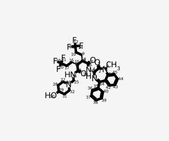 CN1C(=O)[C@@H](NC(=O)[C@H](CCC(F)(F)F)[C@H](CCC(F)(F)F)C(=O)NCN2CCC(O)CC2)N=C(c2ccccc2)c2ccccc21